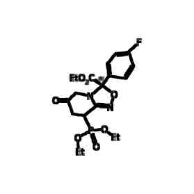 CCOC(=O)[C@@]1(c2ccc(F)cc2)ON=C2C(P(=O)(OCC)OCC)CC(=O)CN21